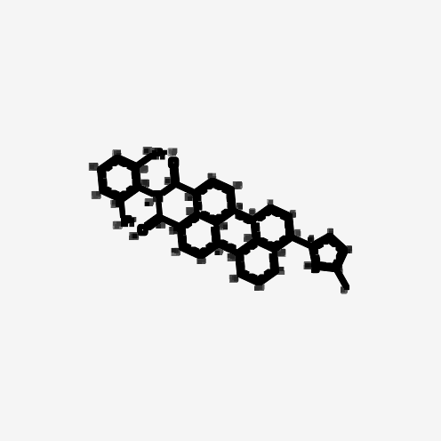 Cc1ccc(-c2ccc3c4ccc5c6c(ccc(c7cccc2c73)c64)C(=O)N(c2c(C(C)C)cccc2C(C)C)C5=O)s1